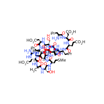 CSCC[C@H](NC(=O)[C@H](CO)NC(=O)[C@H](C)NC(=O)[C@H](CCC(=O)O)NC(=O)[C@H](C)NC(=O)[C@H](Cc1c[nH]cn1)NC(=O)CNC(=O)[C@H](CC(C)C)NC(=O)[C@H](CCC(=O)O)NC(=O)[C@H](CC(=O)O)NC(=O)[C@@H](N)CC(C)C)C(=O)N[C@@H](CCCNC(=N)N)C(=O)N[C@H](C(=O)N[C@@H](CO)C(=O)N[C@@H](CC(=O)O)C(=O)N[C@@H](CC(C)C)C(=O)O)C(C)C